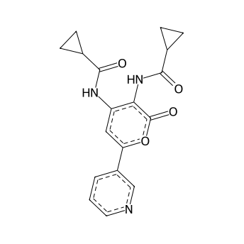 O=C(Nc1cc(-c2cccnc2)oc(=O)c1NC(=O)C1CC1)C1CC1